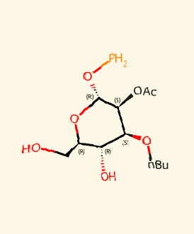 CCCCO[C@H]1[C@H](O)[C@@H](CO)O[C@H](OP)[C@H]1OC(C)=O